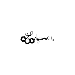 CCCCOC(=O)Nc1ccc2c(c1)N(C(=O)CCl)c1ccccc1CC2